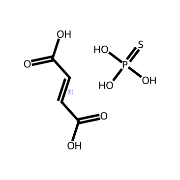 O=C(O)/C=C/C(=O)O.OP(O)(O)=S